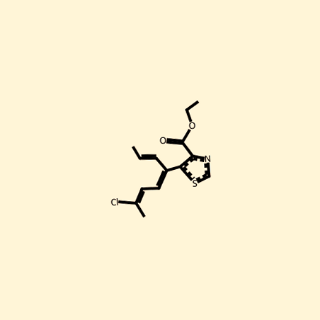 C/C=C/C(=C\C=C(/C)Cl)c1scnc1C(=O)OCC